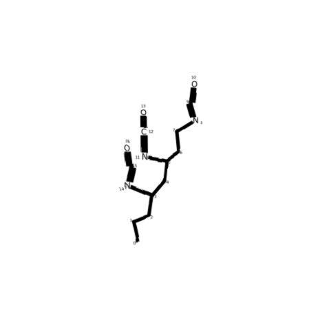 CCCC(CC(CCN=C=O)N=C=O)N=C=O